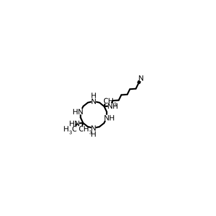 CNC1(C)CNCCNCC(C)(NCCCCCCC#N)CNCCNC1